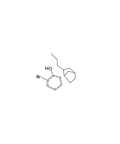 CCCC1CC2CCC1C2.Oc1ccccc1Br